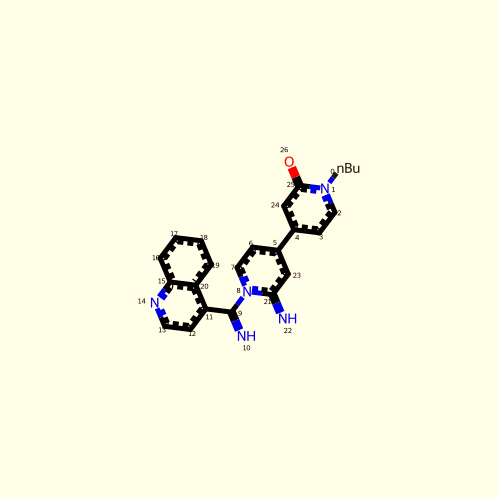 CCCCn1ccc(-c2ccn(C(=N)c3ccnc4ccccc34)c(=N)c2)cc1=O